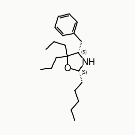 CCCCC[C@H]1N[C@@H](Cc2ccccc2)C(CCC)(CCC)O1